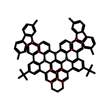 Cc1ccc2c3ccc(C)cc3n(-c3ccc4c(c3)N(c3c(-c5ccccc5)cc(C(C)(C)C)cc3-c3ccccc3)c3cc(C5CCCCC5)cc5c3B4c3ccc(-n4c6cc(C)ccc6c6ccc(C)cc64)cc3N5c3c(-c4ccccc4)cc(C(C)(C)C)cc3-c3ccccc3)c2c1